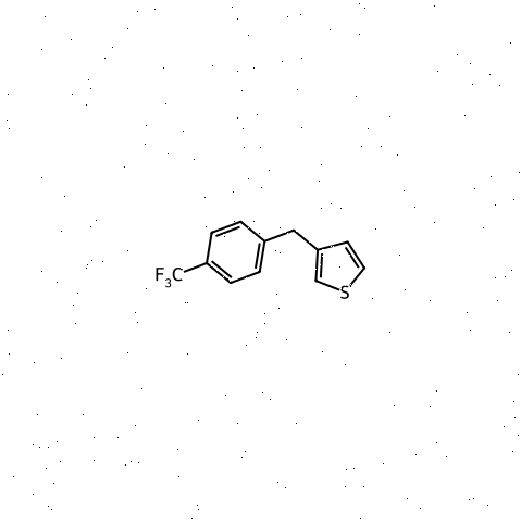 FC(F)(F)c1ccc(Cc2ccsc2)cc1